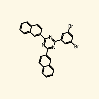 Brc1cc(Br)cc(-c2nc(-c3ccc4ccccc4c3)nc(-c3ccc4ccccc4c3)n2)c1